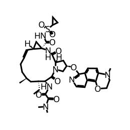 CC[C@@H]1C[C@@H](C)CCC=C[C@@H]2C[C@@]2(C(=O)NS(=O)(=O)C2CC2)NC(=O)[C@@H]2C[C@@H](Oc3nccc4c5c(ccc34)N(C)CCO5)CN2C(=O)[C@H]1NC(=O)C(=O)N(C)C